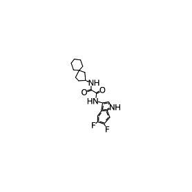 O=C(Nc1c[nH]c2cc(F)c(F)cc12)C(=O)N[C@H]1CCC2(CCCCC2)C1